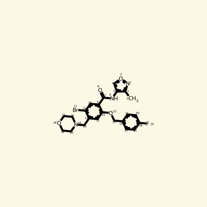 Cc1nocc1NC(=O)c1cc(Br)c(CN2CCOCC2)cc1OCc1ccc(F)cc1